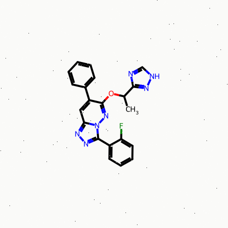 CC(Oc1nn2c(-c3ccccc3F)nnc2cc1-c1ccccc1)c1nc[nH]n1